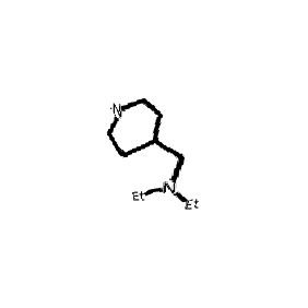 CCN(CC)CC1CC[N]CC1